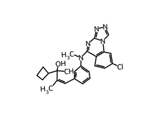 CC(=Cc1cccc(N(C)c2nc3nncn3c3cc(Cl)ccc23)c1)C(C)(O)C1CCC1